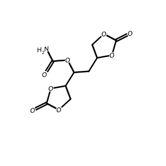 NC(=O)OC(CC1COC(=O)O1)C1COC(=O)O1